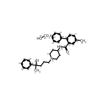 CCC(C)(CCCN1CCC(NC(=O)c2cc(C)ccc2-c2ccccc2)CC1)c1ccccc1.O=C(O)O